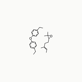 CC=C(C)CCC1OC1(C)C.CCc1ccc(Oc2ccc(CC)cc2)cc1